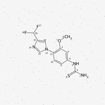 COc1cc(NC(N)=S)ccc1-n1cnc(C(F)F)c1